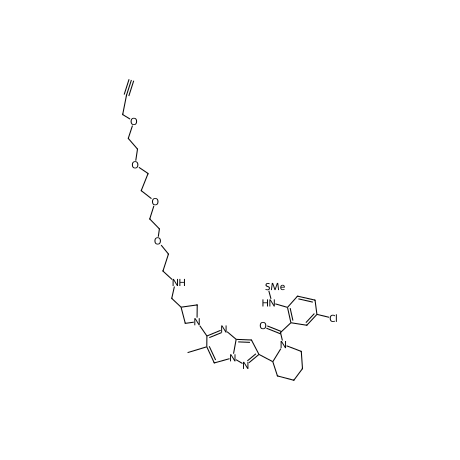 C#CCOCCOCCOCCOCCNCC1CN(c2nc3cc(C4CCCCN4C(=O)c4cc(Cl)ccc4NSC)nn3cc2C)C1